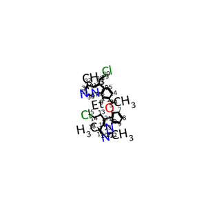 CCc1c(C(C)Oc2cccc3c2c(CCCl)c2c(C)cnc(C)n23)ccc2c(CCCl)c3c(C)cncn3c12